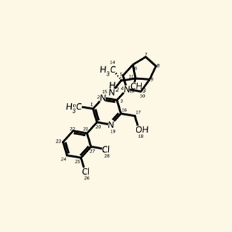 Cc1nc(N2CC3CCC(C2)C3(C)[C@@H](C)N)c(CO)nc1-c1cccc(Cl)c1Cl